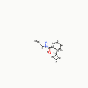 C#CCNC(=O)c1ccccc1C1CCC1